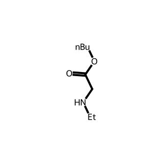 CCCCOC(=O)CNCC